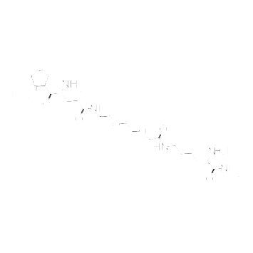 CN[C@@H](CCCCNC(=O)COCCOCCNC(=O)CC[C@H](N)C(=O)C1CCC[C@H]1C)C(N)=O